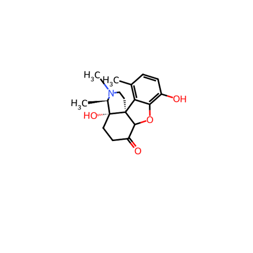 Cc1ccc(O)c2c1[C@]13CCN(C)[C@H](C)[C@]1(O)CCC(=O)C3O2